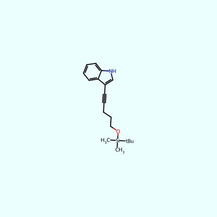 CC(C)(C)[Si](C)(C)OCCCC#Cc1c[nH]c2ccccc12